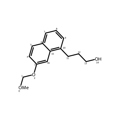 COCOc1ccc2cccc(CCCO)c2c1